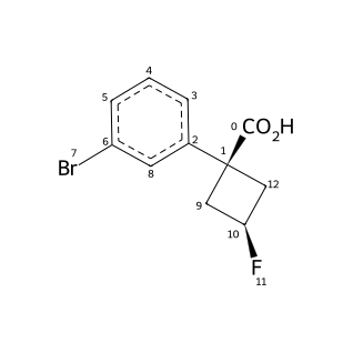 O=C(O)[C@]1(c2cccc(Br)c2)C[C@H](F)C1